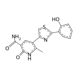 Cc1[nH]c(=O)c(C(N)=O)cc1-c1csc(-c2ccccc2O)n1